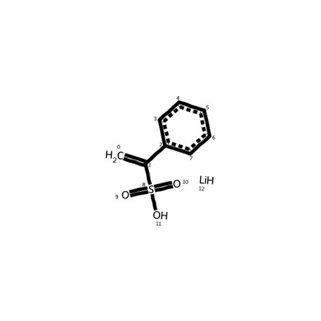 C=C(c1ccccc1)S(=O)(=O)O.[LiH]